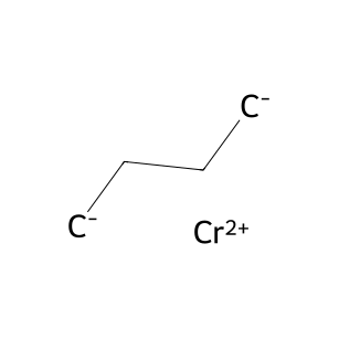 [CH2-]CC[CH2-].[Cr+2]